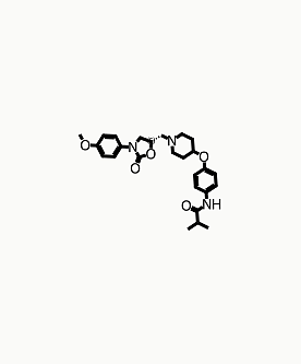 COc1ccc(N2C[C@H](CN3CCC(Oc4ccc(NC(=O)C(C)C)cc4)CC3)OC2=O)cc1